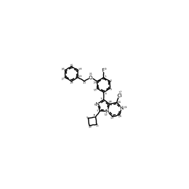 Fc1ccc(-c2nc(C3CCC3)n3ccnc(Cl)c23)cc1OCc1ccccc1